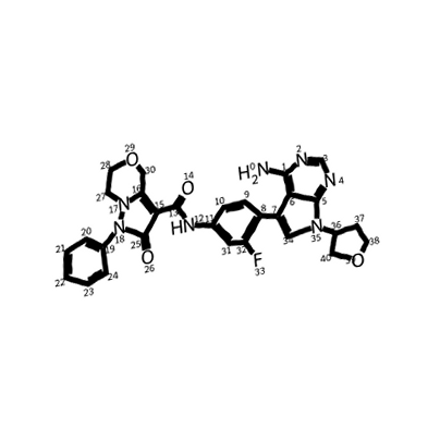 Nc1ncnc2c1c(-c1ccc(NC(=O)c3c4n(n(-c5ccccc5)c3=O)CCOC4)cc1F)cn2C1CCOC1